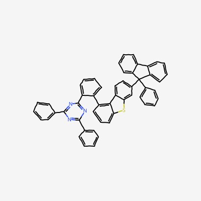 c1ccc(-c2nc(-c3ccccc3)nc(-c3ccccc3-c3cccc4sc5cc(C6(c7ccccc7)c7ccccc7-c7ccccc76)ccc5c34)n2)cc1